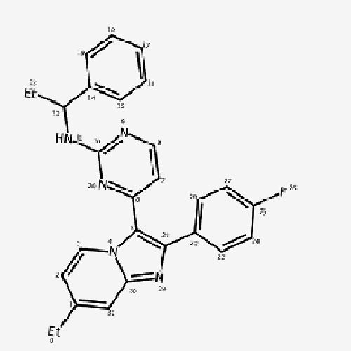 CCc1ccn2c(-c3ccnc(NC(CC)c4ccccc4)n3)c(-c3ccc(F)cc3)nc2c1